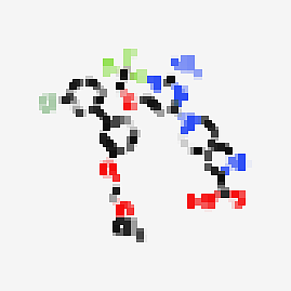 COCCOc1cccc(-c2cc(Cl)ccc2[C@@H](Oc2cc(N3CCC4(CC3)CNC(C(=O)O)C4)nc(N)n2)C(F)(F)F)c1